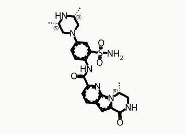 C[C@@H]1CN(c2ccc(NC(=O)c3ccc4cc5n(c4n3)[C@H](C)CNC5=O)c(S(N)(=O)=O)c2)C[C@H](C)N1